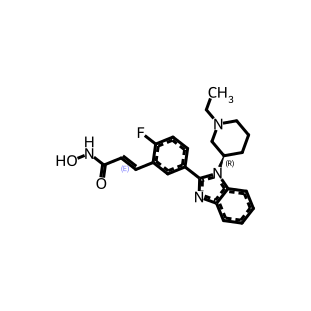 CCN1CCC[C@@H](n2c(-c3ccc(F)c(/C=C/C(=O)NO)c3)nc3ccccc32)C1